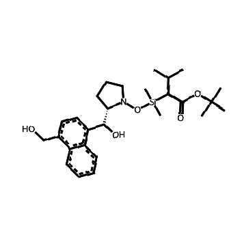 CC(C)C(C(=O)OC(C)(C)C)[Si](C)(C)ON1CCC[C@H]1C(O)c1ccc(CO)c2ccccc12